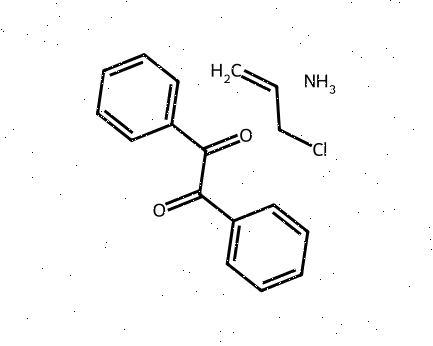 C=CCCl.N.O=C(C(=O)c1ccccc1)c1ccccc1